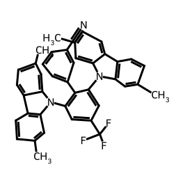 Cc1ccc2c3ccc(C)cc3n(-c3cc(C(F)(F)F)cc(-n4c5cc(C)ccc5c5ccc(C)cc54)c3-c3cccc(C#N)c3)c2c1